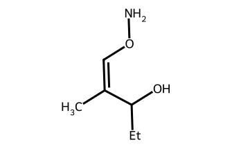 CCC(O)/C(C)=C\ON